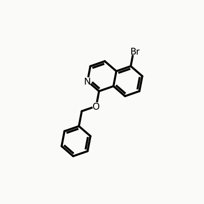 Brc1cccc2c(OCc3ccccc3)nccc12